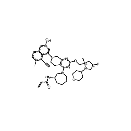 C#Cc1c(F)ccc2cc(O)cc(N3CCc4c(nc(OC[C@]5(C)C[C@@H](F)CN5C5CCOCC5)nc4N4CCCCC(NC(=O)C=C)C4)C3)c12